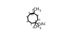 CC(=O)OC1(C)CCC/C=C(/C)CC1